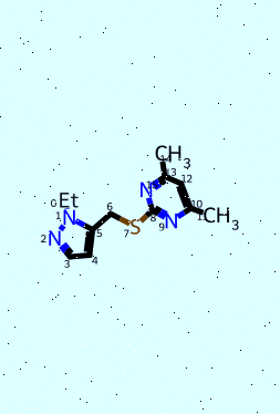 CCn1nccc1CSc1nc(C)cc(C)n1